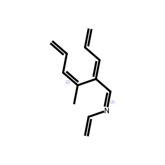 C=CC=C(/C=N\C=C)/C(C)=C\C=C